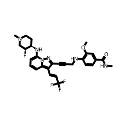 CNC(=O)c1ccc(NCC#Cc2nn3c(N[C@@H]4CCN(C)C[C@@H]4F)cccc3c2/C=C/C(F)(F)F)c(OC)c1